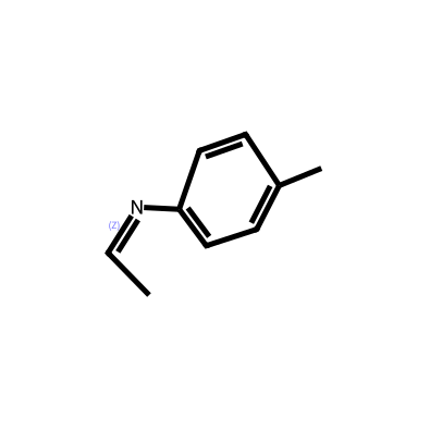 C/C=N\c1ccc(C)cc1